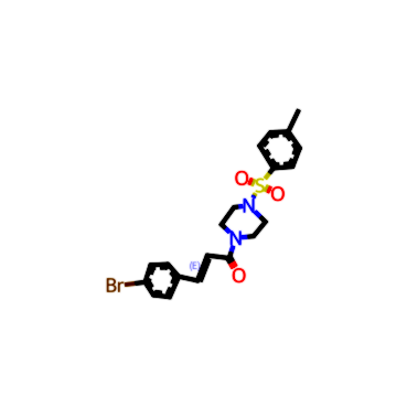 Cc1ccc(S(=O)(=O)N2CCN(C(=O)/C=C/c3ccc(Br)cc3)CC2)cc1